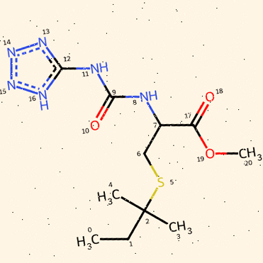 CCC(C)(C)SCC(NC(=O)Nc1nnn[nH]1)C(=O)OC